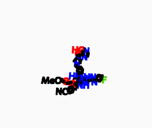 COCCOCCOC(=O)[C@H](Cc1ccc(C#N)cc1)Nc1nc(NCc2nc3cc(F)ccc3[nH]2)nc(Nc2cccc(CN3CCN(C(=O)c4nccnc4O)CC3)c2)n1